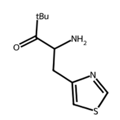 CC(C)(C)C(=O)C(N)Cc1cscn1